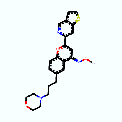 CC(C)(C)O/N=c1\cc(-c2cc3sccc3cn2)oc2ccc(CCCN3CCOCC3)cc12